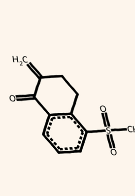 C=C1CCc2c(cccc2S(C)(=O)=O)C1=O